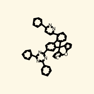 c1ccc(-c2ccc(-c3cccc4c3-c3ccc(-c5nc(-c6ccccc6)nc(-c6ccccc6)n5)cc3C43c4ccccc4Oc4ccccc43)nn2)cc1